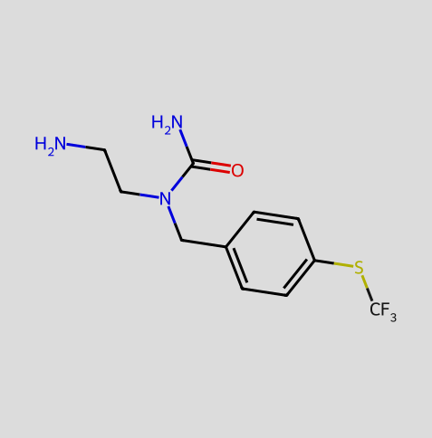 NCCN(Cc1ccc(SC(F)(F)F)cc1)C(N)=O